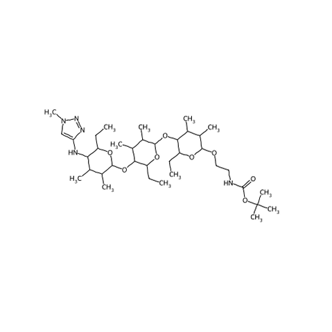 CCC1OC(OC2C(CC)OC(OC3C(CC)OC(OCCNC(=O)OC(C)(C)C)C(C)C3C)C(C)C2C)C(C)C(C)C1Nc1cn(C)nn1